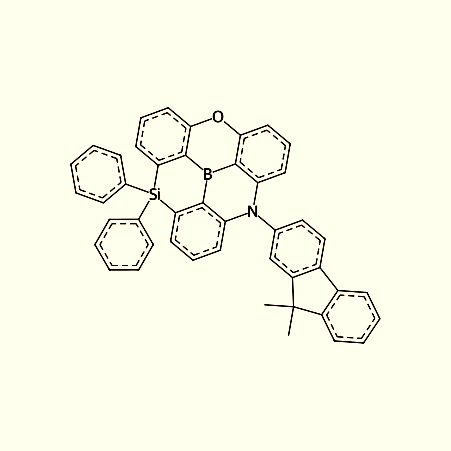 CC1(C)c2ccccc2-c2ccc(N3c4cccc5c4B4c6c(cccc6[Si](c6ccccc6)(c6ccccc6)c6cccc3c64)O5)cc21